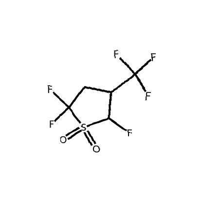 O=S1(=O)C(F)C(C(F)(F)F)CC1(F)F